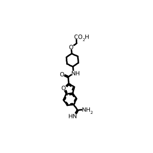 N=C(N)c1ccc2oc(C(=O)NC3CCC(OCC(=O)O)CC3)cc2c1